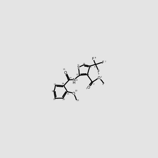 COC(=O)c1c(C(F)(F)F)csc1NC(=O)c1ccccc1OC